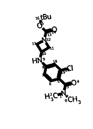 CN(C)C(=O)c1ccc(NC2CN(C(=O)OC(C)(C)C)C2)cc1Cl